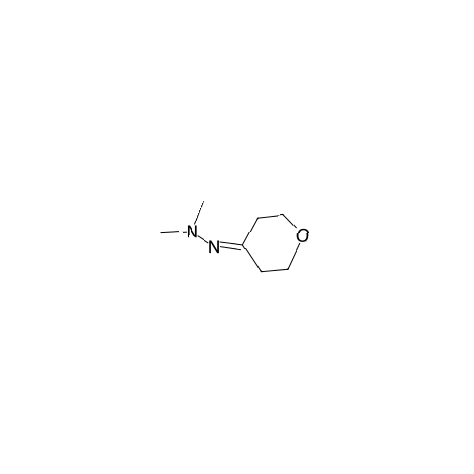 CN(C)N=C1CCOCC1